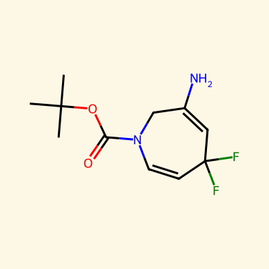 CC(C)(C)OC(=O)N1C=CC(F)(F)C=C(N)C1